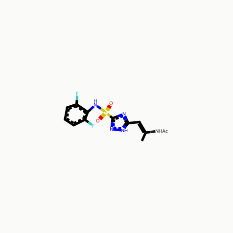 CC(=O)N/C(C)=C/c1nc(S(=O)(=O)Nc2c(F)cccc2F)n[nH]1